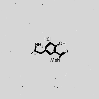 CNC(=O)c1cc(C[C@H](C)N)ccc1O.Cl